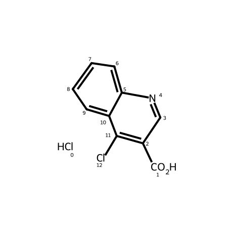 Cl.O=C(O)c1cnc2ccccc2c1Cl